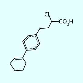 O=C(O)C(Cl)CCc1ccc(C2=CCCCC2)cc1